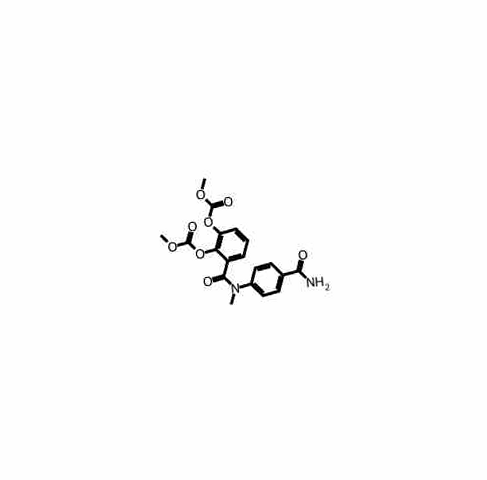 COC(=O)Oc1cccc(C(=O)N(C)c2ccc(C(N)=O)cc2)c1OC(=O)OC